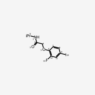 CC(C)NC(=O)COc1ccc(I)cc1F